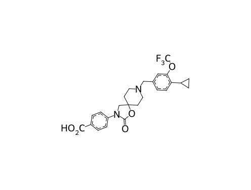 O=C(O)c1ccc(N2CC3(CCN(Cc4ccc(C5CC5)c(OC(F)(F)F)c4)CC3)OC2=O)cc1